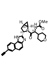 C#Cc1ccc2c(ccc3nc([C@@H]4C[C@H]5C[C@H]5N4C(=O)[C@@H](NC(=O)OC)C4CCOCC4)[nH]c32)c1